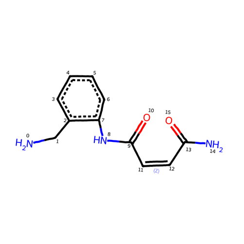 NCc1ccccc1NC(=O)/C=C\C(N)=O